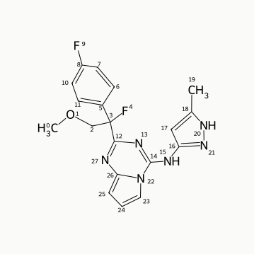 COCC(F)(c1ccc(F)cc1)c1nc(Nc2cc(C)[nH]n2)n2cccc2n1